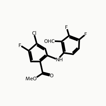 COC(=O)c1cc(F)c(Cl)cc1Nc1ccc(F)c(F)c1C=O